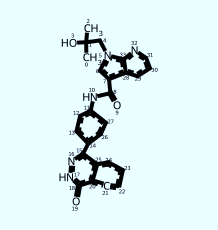 CC(C)(O)Cn1cc(C(=O)Nc2ccc(-c3n[nH]c(=O)c4ccccc34)cc2)c2cccnc21